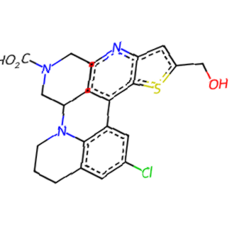 O=C(O)N1CCCC(N2CCCc3cc(Cl)cc(-c4ccnc5cc(CO)sc45)c32)C1